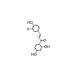 O=C(/C=C/c1ccc(O)c(F)c1)c1ccc(O)cc1O